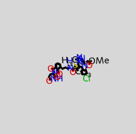 COC(=O)C[C@@H]1N=C(c2ccc(Cl)cc2)c2c(sc(C(=O)NCCCc3cccc4c3C(=O)N(C3CCC(=O)NC3=O)C4=O)c2C)-n2c(C)nnc21